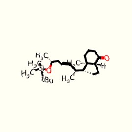 C[C@H](C/C=C/[C@@H](C)[C@H]1CC[C@H]2C(=O)CCC[C@]12C)O[Si](C)(C)C(C)(C)C